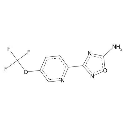 Nc1nc(-c2ccc(OC(F)(F)F)cn2)no1